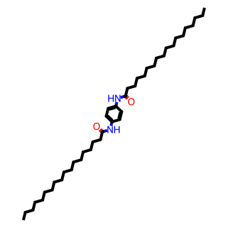 CCCCCCCCCCCCCCCCCC(=O)Nc1ccc(NC(=O)CCCCCCCCCCCCCCCCC)cc1